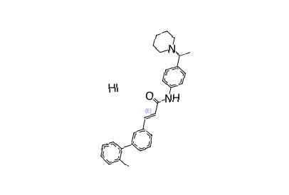 Cc1ccccc1-c1cccc(/C=C/C(=O)Nc2ccc(C(C)N3CCCCC3)cc2)c1.I